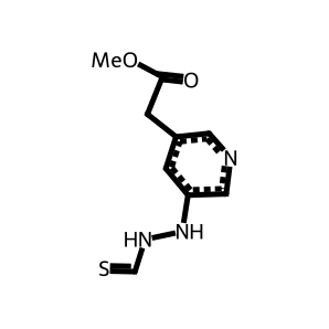 COC(=O)Cc1cncc(NNC=S)c1